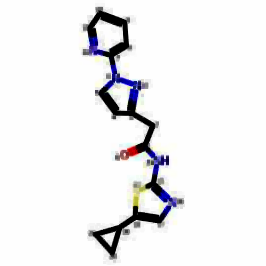 O=C(Cc1ccn(-c2ccccn2)n1)Nc1ncc(C2CC2)s1